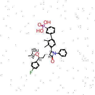 Cc1c(-c2cccc(P(=O)(O)O)c2)ccc([C@@H]2[C@@H](CC[C@H](O[Si](C)(C)C(C)(C)C)c3ccc(F)cc3)C(=O)N2c2ccccc2)c1C